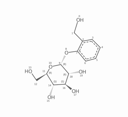 OCc1ccccc1O[C@H]1O[C@H](CO)[C@@H](O)[C@H](O)[C@H]1O